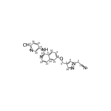 N#CCn1cc(COc2ccc3c(Nc4ccc(Cl)nc4)nccc3c2)cn1